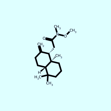 C=C1CC[C@H]2C(C)(C)CCC[C@]2(C)[C@H]1CC(=O)N(C)OC